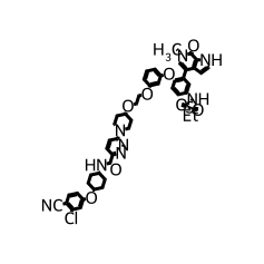 CCS(=O)(=O)Nc1ccc(Oc2cccc(OCCOC3CCN(c4ccc(C(=O)N[C@H]5CC[C@H](Oc6ccc(C#N)c(Cl)c6)CC5)nn4)CC3)c2)c(-c2cn(C)c(=O)c3[nH]ccc23)c1